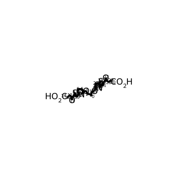 C=C(COc1ccc2sc(C(=O)CCC(=O)O)cc2n1)COc1ccc2sc(C(=O)CCC(=O)O)cc2n1